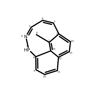 Cc1c2cccn[pH]c3cccc(cc2)c13